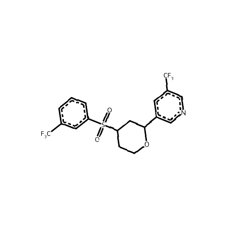 O=S(=O)(c1cccc(C(F)(F)F)c1)C1CCOC(c2cncc(C(F)(F)F)c2)C1